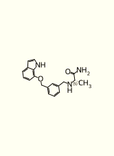 C[C@H](NCc1cccc(COc2cccc3cc[nH]c23)c1)C(N)=O